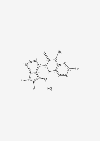 CCn1c(C)c(C)c2nccc(N(Cc3ccc(F)cc3)C(=O)OC(C)(C)C)c21.Cl